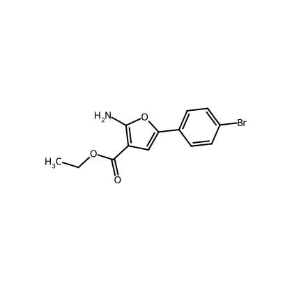 CCOC(=O)c1cc(-c2ccc(Br)cc2)oc1N